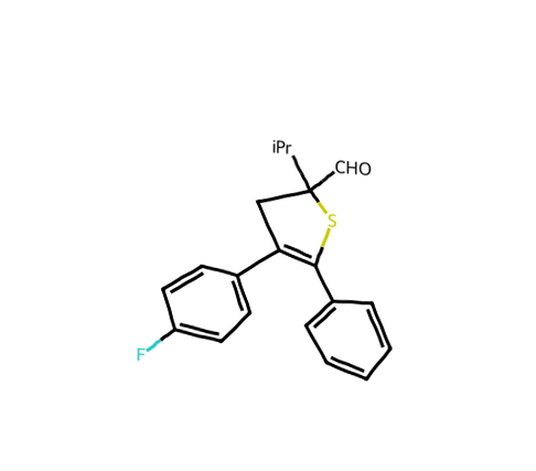 CC(C)C1(C=O)CC(c2ccc(F)cc2)=C(c2ccccc2)S1